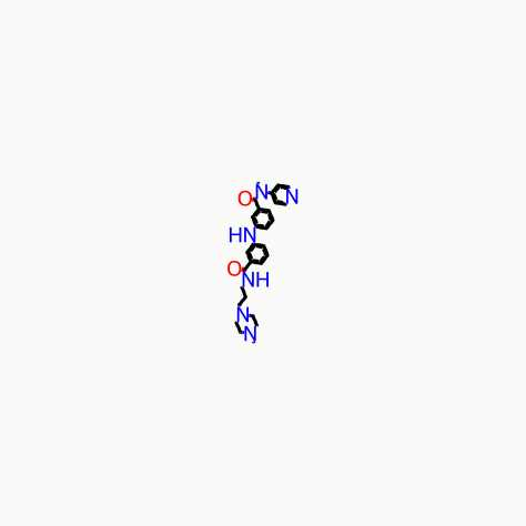 CN1CCN(CCCNC(=O)c2cccc(Nc3cccc(C(=O)N(C)c4ccncc4)c3)c2)CC1